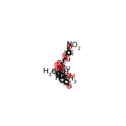 CCCCC(=O)O[C@]1(C(=O)COC(=O)CCC(=O)Oc2cccc(CO[N+](=O)[O-])c2)[C@@H](C)C[C@H]2C3CCC4=CC(=O)C=C[C@]4(C)[C@@]3(F)[C@@H](O)C[C@@]21C